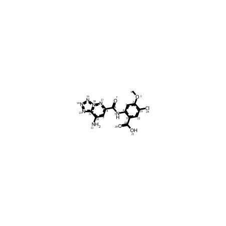 COc1cc(NC(=O)c2cc(N)c3nnnn3n2)c(C(=O)O)cc1Cl